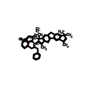 CCC1C=C(C(C)(C)C)C=[C]1[Zr+2]([C]1=C(C)c2cc3c(cc2C1(C)C)Cc1cc2c(cc1-3)C(C)=CC2(C)C)=[C](Cc1ccccc1)Cc1ccccc1.[Cl-].[Cl-]